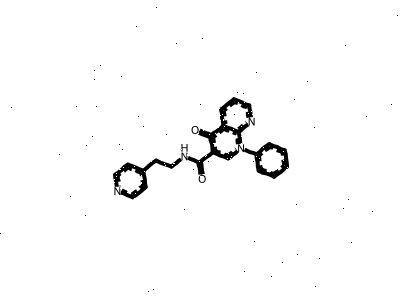 O=C(NCCc1ccncc1)c1cn(-c2ccccc2)c2ncccc2c1=O